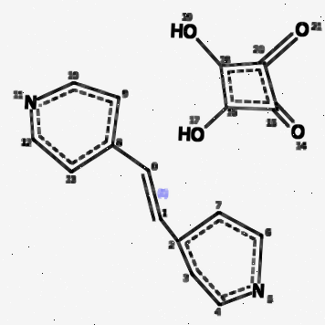 C(=C\c1ccncc1)/c1ccncc1.O=c1c(O)c(O)c1=O